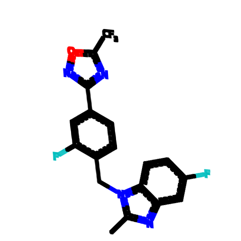 Cc1nc2cc(F)ccc2n1Cc1ccc(-c2noc(C(F)(F)F)n2)cc1F